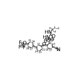 CCC(C)(C)NC(=O)NS(=O)(=O)c1cc(C#N)ccc1Oc1cccc(-c2ccc(OC(F)(F)F)cc2)c1